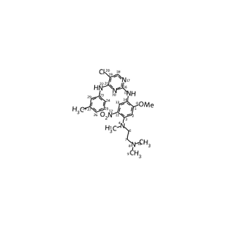 COc1cc(N(C)CCN(C)C)c([N+](=O)[O-])cc1Nc1ncc(Cl)c(Nc2cccc(C)c2)n1